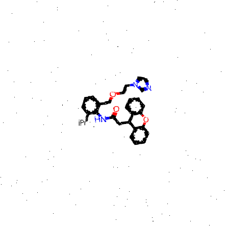 CC(C)c1cccc(COCCn2ccnc2)c1NC(=O)CC1c2ccccc2Oc2ccccc21